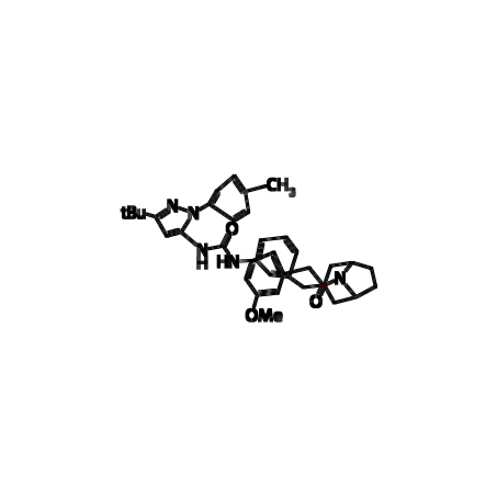 COc1cccc(CC(=O)N2C3CCC2CC(Cc2cccc(NC(=O)Nc4cc(C(C)(C)C)nn4-c4ccc(C)cc4)c2)C3)c1